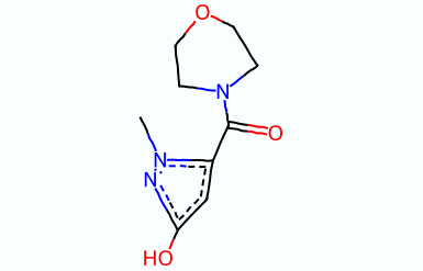 Cn1nc(O)cc1C(=O)N1CCOCC1